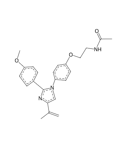 C=C(C)c1cn(-c2ccc(OCCNC(C)=O)cc2)c(-c2ccc(OC)cc2)n1